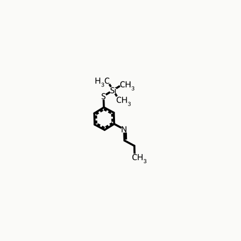 CC/C=N/c1cccc(S[Si](C)(C)C)c1